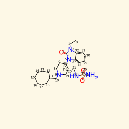 CCn1c(=O)n([C@H]2CCN(CC3CCCCCCC3)C[C@H]2CNS(N)(=O)=O)c2ccccc21